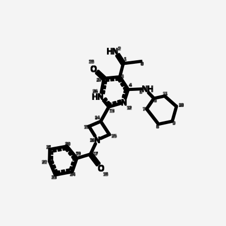 CC(=N)c1c(NC2CCCCC2)nc(C2CN(C(=O)c3ccccc3)C2)[nH]c1=O